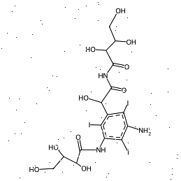 Nc1c(I)c(NC(=O)C(O)C(O)CO)c(I)c(C(O)C(=O)NC(=O)C(O)C(O)CO)c1I